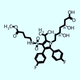 COC(=O)CCCNS(=O)(=O)c1c(-c2ccc(F)cc2)c(-c2ccc(F)cc2)n(CC[C@@H](O)C[C@@H](O)CC(=O)O)c1C(C)C